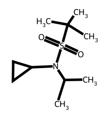 CC(C)N(C1CC1)S(=O)(=O)C(C)(C)C